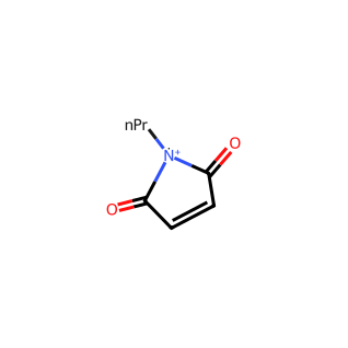 CCC[N+]1C(=O)C=CC1=O